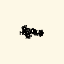 C[N@+]1(CCc2ncccn2)CCCC(OC(=O)C(O)(c2ccccc2)c2ccccc2)C1